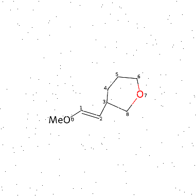 COC=CC1CCCOC1